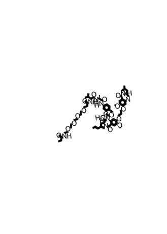 C/C=C/C1=CN2C(=O)c3cc(OC)c(OCCCOc4cc5c(cc4OC)C(=O)N4C=C(C)C[C@H]4C=N5)cc3N(C(=O)OCc3ccc(NC(=O)[C@H](C)NC(=O)[C@@H](NC(=O)CCOCCOCCOCCOCCNC(=O)CC)C(C)C)cc3)[C@@H](O)[C@@H]2C1